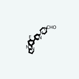 O=CN1CCN(c2ccc(-c3cc4c(cc3F)nc3n4CCC3)cn2)CC1